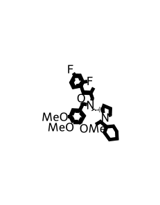 COc1cc(C(=O)N(CC(C)=Cc2ccc(F)cc2F)C[C@@H]2CCCN2C(C)C2CCCCC2)cc(OC)c1OC